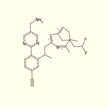 C#Cc1ccc(-c2ncc(CN)cn2)c(C(C)CC2=C/C(CCCC(F)F)=C/CC(C)/C(C)=N\2)c1